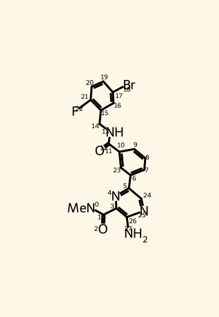 CNC(=O)c1nc(-c2cccc(C(=O)NCc3cc(Br)ccc3F)c2)cnc1N